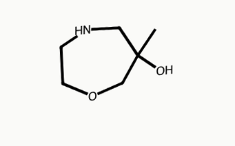 CC1(O)CNCCOC1